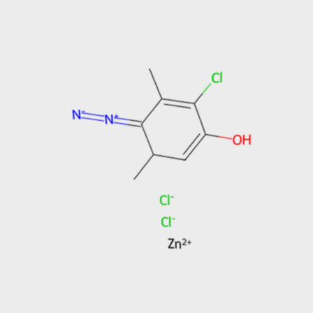 CC1=C(Cl)C(O)=CC(C)C1=[N+]=[N-].[Cl-].[Cl-].[Zn+2]